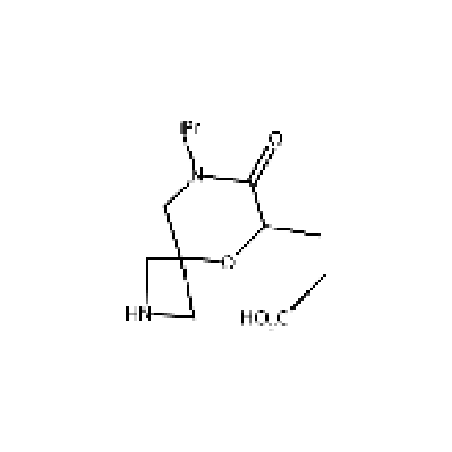 CC(=O)O.CC1OC2(CNC2)CN(C(C)C)C1=O